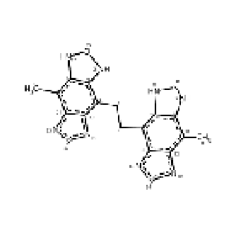 Cc1c2c(c(CCc3c4c(c(C)c5nsnc35)NSN4)c3nsnc13)NON2